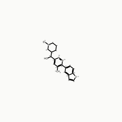 CCN1CCCC(C(O)c2cc(C)c(-c3ccc4occc4c3)nn2)C1